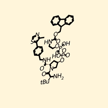 Cc1ncsc1-c1ccc(CNC(=O)[C@@H]2C[C@@H](OP(=O)(O)OP(=O)(O)OCCNC(=O)OCC3c4ccccc4-c4ccccc43)CN2C(=O)[C@@H](N)C(C)(C)C)cc1